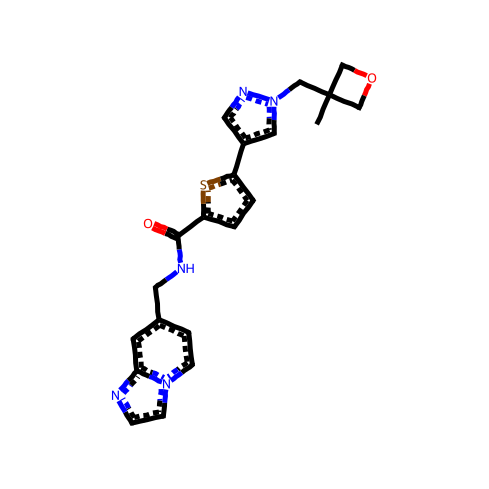 CC1(Cn2cc(-c3ccc(C(=O)NCc4ccn5ccnc5c4)s3)cn2)COC1